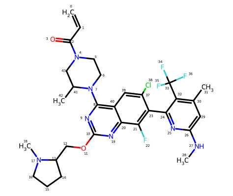 C=CC(=O)N1CCN(c2nc(OCC3CCCN3C)nc3c(F)c(-c4nc(NC)cc(C)c4C(F)(F)F)c(Cl)cc23)C(C)C1